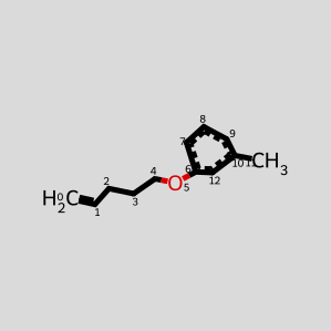 C=CCCCOc1cccc(C)c1